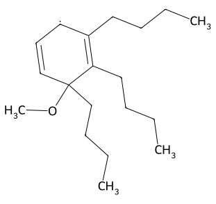 CCCCC1=C(CCCC)C(CCCC)(OC)C=C[CH]1